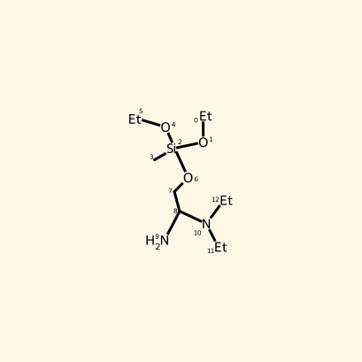 CCO[Si](C)(OCC)OCC(N)N(CC)CC